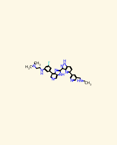 CCNCc1cncc(-c2ccc3[nH]nc(-c4nc5c(-c6cc(F)cc(NCCN(C)C)c6)cncc5[nH]4)c3n2)c1